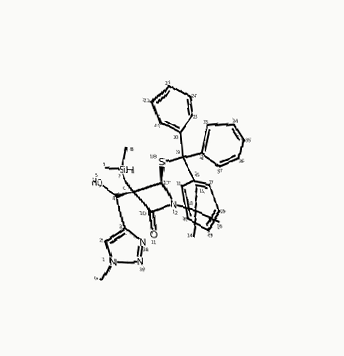 Cn1cc(C(O)[C@]2([SiH](C)C)C(=O)N(C(C)(C)C)[C@@H]2SC(c2ccccc2)(c2ccccc2)c2ccccc2)nn1